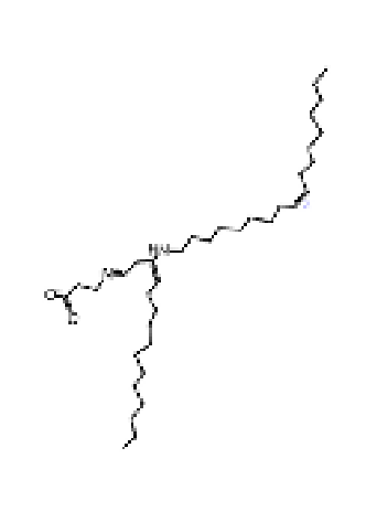 CCCCCCCC/C=C\CCCCCCCCNC(=CCCCCCCCCCCC)CC=[N+]CCC(=O)[O-]